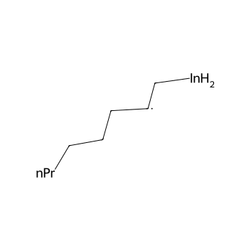 CCCCCC[CH][CH2][InH2]